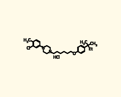 CCC(C)(C)c1ccc(OCCCCCCN2CCN(c3ccc(C)c(Cl)c3)CC2)cc1.Cl